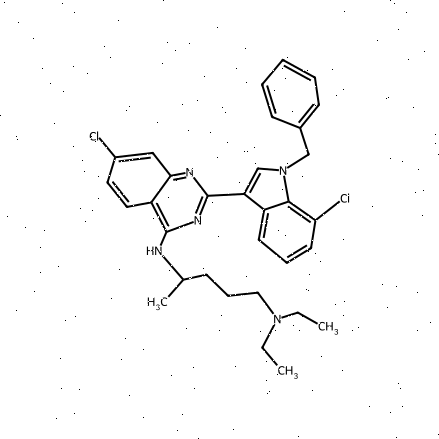 CCN(CC)CCCC(C)Nc1nc(-c2cn(Cc3ccccc3)c3c(Cl)cccc23)nc2cc(Cl)ccc12